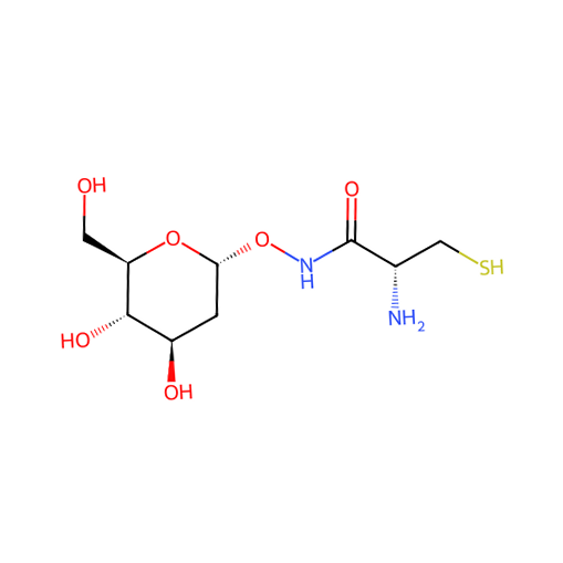 N[C@@H](CS)C(=O)NO[C@@H]1C[C@@H](O)[C@H](O)[C@@H](CO)O1